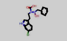 O=C(O)N(CCc1c[nH]c2cc(Br)ccc12)N(O)Cc1ccccc1